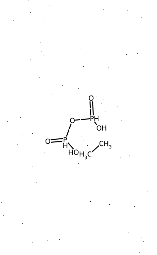 CC.O=[PH](O)O[PH](=O)O